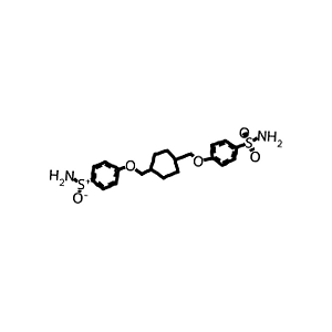 N[S+]([O-])c1ccc(OCC2CCC(COc3ccc(S(N)(=O)=O)cc3)CC2)cc1